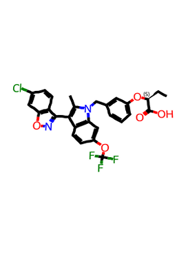 CC[C@H](Oc1cccc(Cn2c(C)c(-c3noc4cc(Cl)ccc34)c3ccc(OC(F)(F)F)cc32)c1)C(=O)O